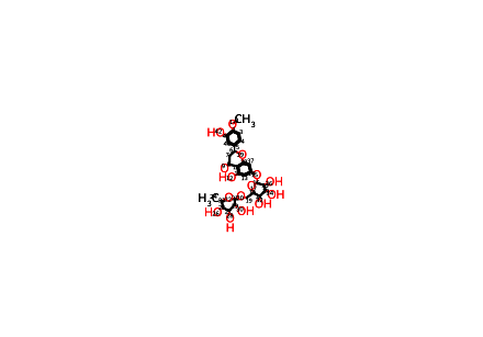 COc1ccc([C@@H]2CC(=O)c3c(O)cc(O[C@@H]4OC(CO[C@@H]5O[C@@H](C)[C@H](O)C(O)C5O)[C@@H](O)C(O)C4O)cc3O2)cc1O